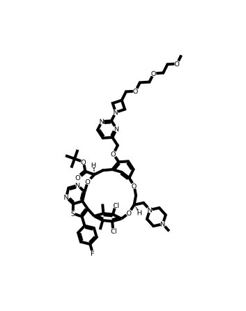 COCCOCCOCC1CN(c2nccc(COc3ccc4cc3C[C@H](C(=O)OC(C)(C)C)Oc3ncnc5sc(-c6ccc(F)cc6)c(c35)-c3c(C)c(Cl)c(c(Cl)c3C)O[C@H](CN3CCN(C)CC3)CO4)n2)C1